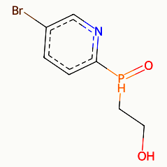 O=[PH](CCO)c1ccc(Br)cn1